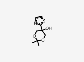 CC1(C)OCC(O)(c2nc[c]s2)CO1